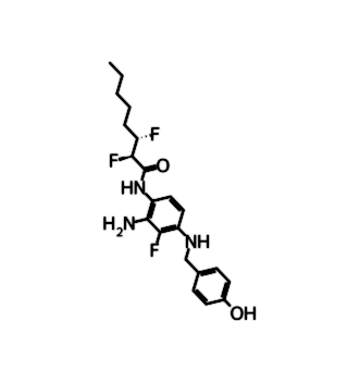 CCCCC[C@H](F)[C@H](F)C(=O)Nc1ccc(NCc2ccc(O)cc2)c(F)c1N